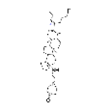 CC/C=C(\CCCF)C1=CCC2(C)C(CCC3(C)C4CC[C@@]5(NCCN6CC[S+]([O-])CC6)CCCC5C4CCC23)C1C